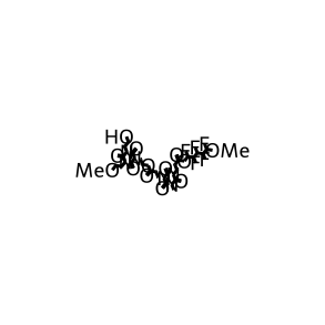 COCCn1c(=O)n(CCO)c(=O)n(CCOC(=O)CCn2c(=O)n(C)c(=O)n(CCC(=O)OC(F)C(F)C(F)C(F)C(F)OC)c2=O)c1=O